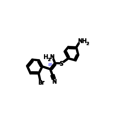 N#C/C(=C(/N)Sc1ccc(N)cc1)c1ccccc1Br